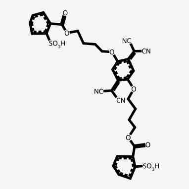 N#CC(C#N)=c1cc(OCCCCOC(=O)c2ccccc2S(=O)(=O)O)c(=C(C#N)C#N)cc1OCCCCOC(=O)c1ccccc1S(=O)(=O)O